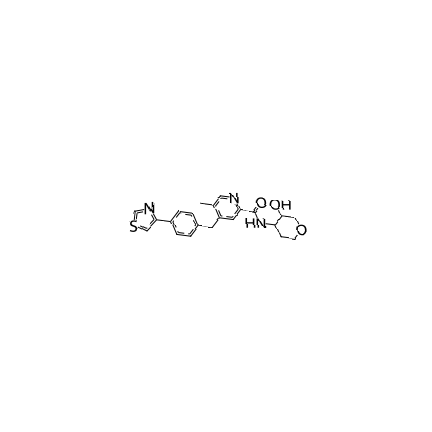 Cc1cnc(C(=O)NC2CCOCC2O)cc1Cc1ccc(-c2cscn2)cc1